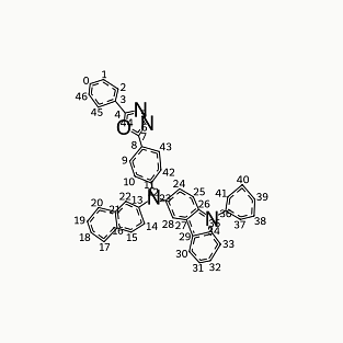 c1ccc(-c2nnc(-c3ccc(N(c4ccc5ccccc5c4)c4ccc5c(c4)c4ccccc4n5-c4ccccc4)cc3)o2)cc1